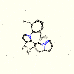 Cc1cc2cccn2cc1-c1c(C)ccn1-c1c(C)cccc1C